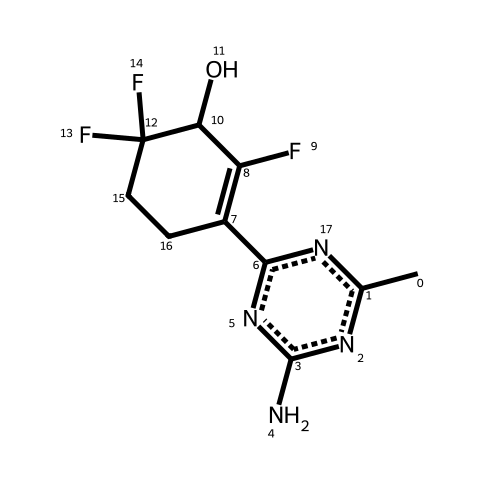 Cc1nc(N)nc(C2=C(F)C(O)C(F)(F)CC2)n1